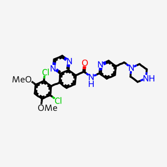 COc1cc(OC)c(Cl)c(-c2ccc(C(=O)Nc3ccc(CN4CCNCC4)cn3)c3nccnc23)c1Cl